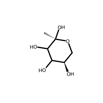 C[C@]1(O)OC[C@@H](O)C(O)C1O